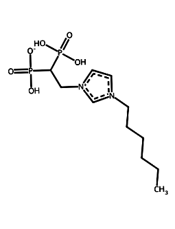 CCCCCCn1cc[n+](CC(P(=O)([O-])O)P(=O)(O)O)c1